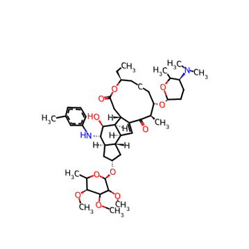 CC[C@H]1CCC[C@H](O[C@H]2CC[C@H](N(C)C)C(C)O2)[C@@H](C)C(=O)C2=C[C@H]3[C@@H]4C[C@H](O[C@@H]5OC(C)[C@H](OC)C(OC)C5OC)C[C@H]4[C@H](Nc4cccc(C)c4)[C@@H](O)[C@H]3[C@@H]2CC(=O)O1